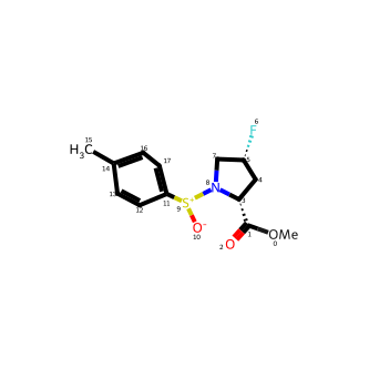 COC(=O)[C@H]1C[C@@H](F)CN1[S+]([O-])c1ccc(C)cc1